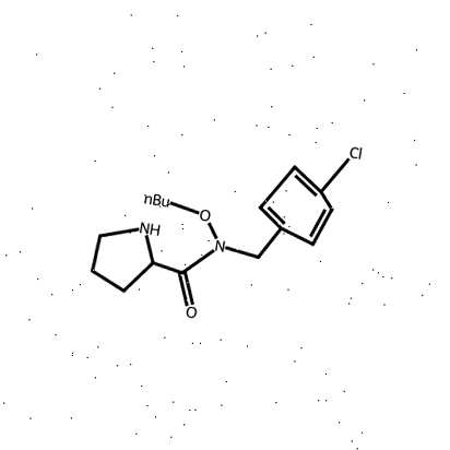 CCCCON(Cc1ccc(Cl)cc1)C(=O)C1CCCN1